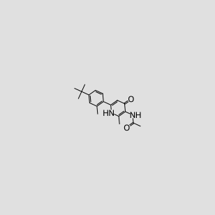 CC(=O)Nc1c(C)[nH]c(-c2ccc(C(C)(C)C)cc2C)cc1=O